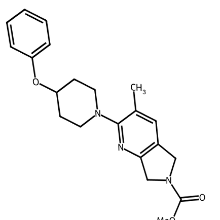 COC(=O)N1Cc2cc(C)c(N3CCC(Oc4ccccc4)CC3)nc2C1